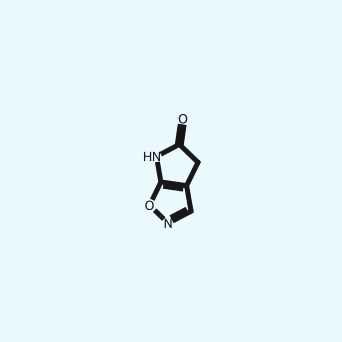 O=C1Cc2cnoc2N1